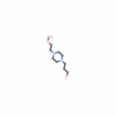 COCCN1CCN(CCC[O])CC1